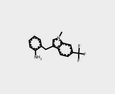 Cn1cc(Cc2ccccc2N)c2ccc(C(F)(F)F)cc21